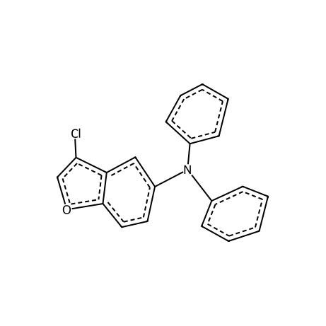 Clc1coc2ccc(N(c3ccccc3)c3ccccc3)cc12